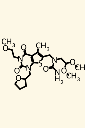 COCCn1c(=O)c2c(C)c(CN(CC(OC)OC)C(N)=O)sc2n(CC2CCCO2)c1=O